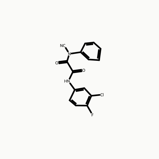 N#CN(C(=O)C(=O)Nc1ccc(F)c(Cl)c1)c1ccccc1